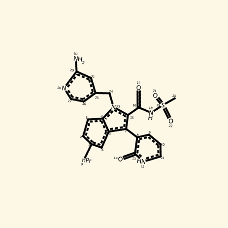 CCCc1ccc2c(c1)c(-c1ccc[nH]c1=O)c(C(=O)NS(C)(=O)=O)n2Cc1ccnc(N)c1